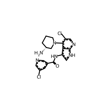 N[C@@H]1CCCN(c2c(Cl)cnc3[nH]cc(NC(=O)c4cncc(Cl)c4)c23)C1